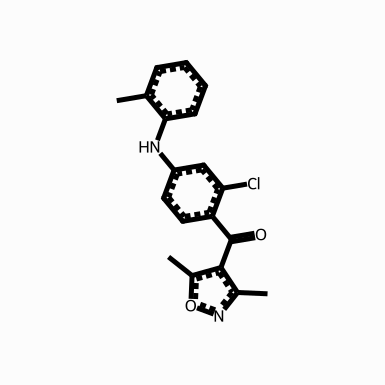 Cc1ccccc1Nc1ccc(C(=O)c2c(C)noc2C)c(Cl)c1